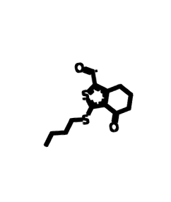 CCCCSc1sc([C]=O)c2c1C(=O)CCC2